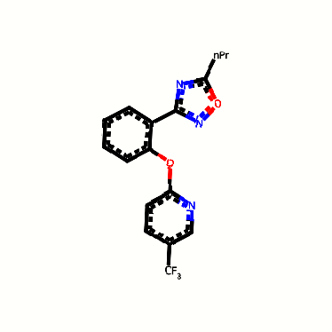 CCCc1nc(-c2ccccc2Oc2ccc(C(F)(F)F)cn2)no1